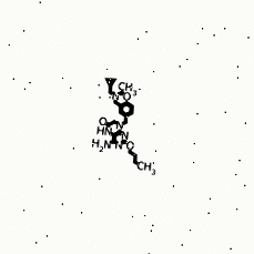 CCCCOc1nc(N)c2c(n1)N(Cc1cccc(CN(CC3CC3)C(C)=O)c1)CC(=O)N2